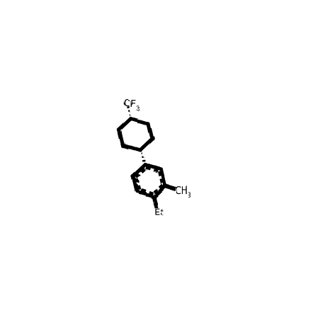 CCc1ccc([C@H]2CC[C@@H](C(F)(F)F)CC2)cc1C